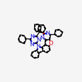 c1ccc(-c2nc(-c3ccccc3)nc(-n3c4ccccc4c4ccc5oc6c(-c7ccccc7)nc(-c7ccccc7)nc6c5c43)n2)cc1